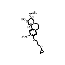 COc1cc2c(cc1OCCOC1CC1)CCN1C[C@@H](OC(C)(C)C)[C@H](O)C[C@H]21